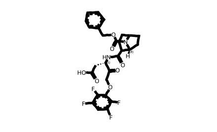 O=C(O)C[C@H](NC(=O)C1CCC2CC[C@H]1N2C(=O)OCc1ccccc1)C(=O)COc1c(F)c(F)cc(F)c1F